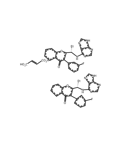 CC[C@H](Nc1ncnc2[nH]cnc12)c1oc2ccccc2c(=O)c1-c1cccc(F)c1.CC[C@H](Nc1ncnc2[nH]cnc12)c1oc2ccccc2c(=O)c1-c1cccc(F)c1.O=C(O)/C=C/C(=O)O